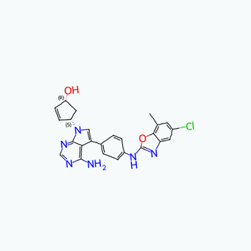 Cc1cc(Cl)cc2nc(Nc3ccc(-c4cn([C@@H]5C=C[C@H](O)C5)c5ncnc(N)c45)cc3)oc12